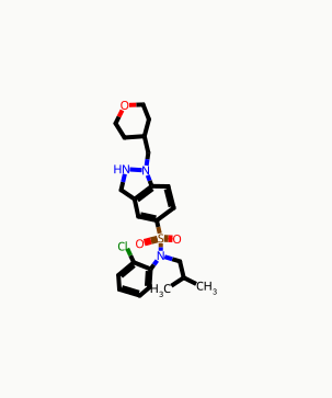 CC(C)CN(c1ccccc1Cl)S(=O)(=O)c1ccc2c(c1)CNN2CC1CCOCC1